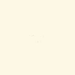 Cl.Cl.Cl.[Ge]